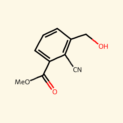 COC(=O)c1cccc(CO)c1C#N